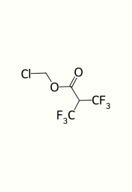 O=C(OCCl)C(C(F)(F)F)C(F)(F)F